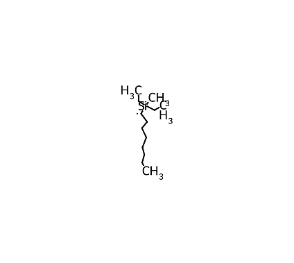 CCCCCCC[CH][Si](C)(CC)CC